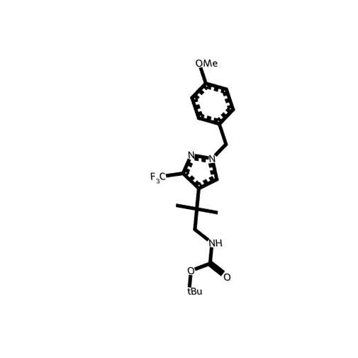 COc1ccc(Cn2cc(C(C)(C)CNC(=O)OC(C)(C)C)c(C(F)(F)F)n2)cc1